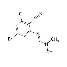 CN(C)C=Nc1cc(Br)cc(Cl)c1C#N